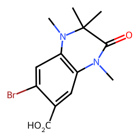 CN1C(=O)C(C)(C)N(C)c2cc(Br)c(C(=O)O)cc21